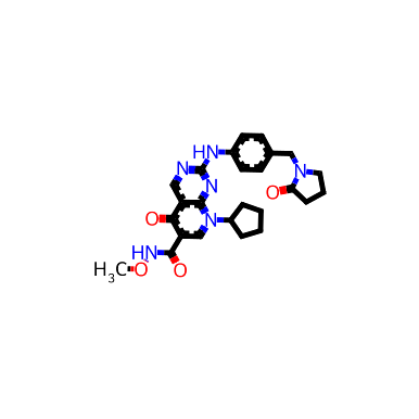 CONC(=O)c1cn(C2CCCC2)c2nc(Nc3ccc(CN4CCCC4=O)cc3)ncc2c1=O